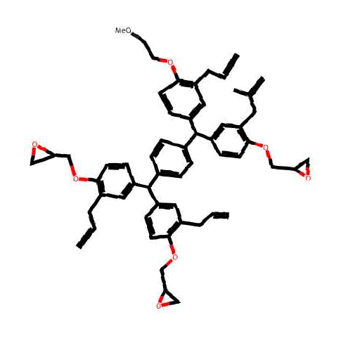 C=CCc1cc(C(c2ccc(C(c3ccc(OCC4CO4)c(CC=C)c3)c3ccc(OCC4CO4)c(CC=C)c3)cc2)c2ccc(OCC3CO3)c(CC(=C)C)c2)ccc1OCCOC